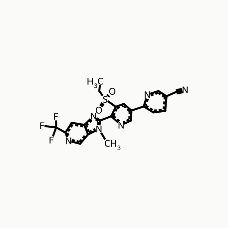 CCS(=O)(=O)c1cc(-c2ccc(C#N)cn2)cnc1-c1nc2cc(C(F)(F)F)ncc2n1C